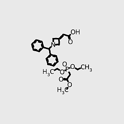 CCOP(=O)(CC(=O)OC)OCC.O=C(O)C=C1CN(C(c2ccccc2)c2ccccc2)C1